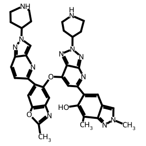 Cc1nc2cc(Oc3cc(-c4cc5cn(C)nc5c(C)c4O)nc4nn(C5CCNCC5)nc34)c(-c3ccc4nn(C5CCNCC5)cc4n3)cc2o1